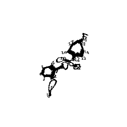 COc1ccccc1OS(=O)(=O)c1ccc(F)cc1